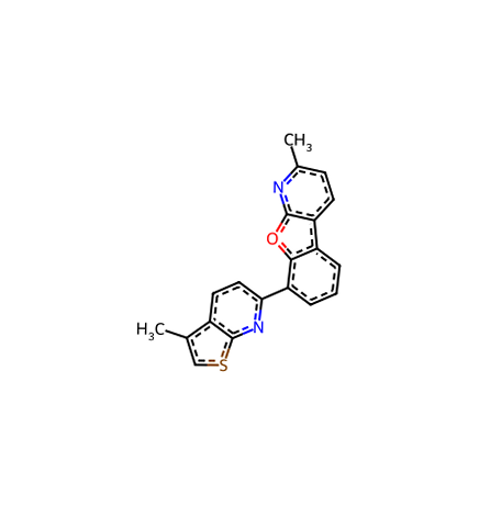 Cc1ccc2c(n1)oc1c(-c3ccc4c(C)csc4n3)cccc12